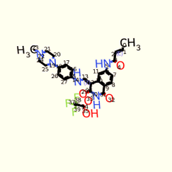 C/C=C/C(=O)Nc1ccc2c(c1)/C(=C/Nc1ccc(N3CCN(C)CC3)cc1)C(=O)NC2=O.O=C(O)C(F)(F)F